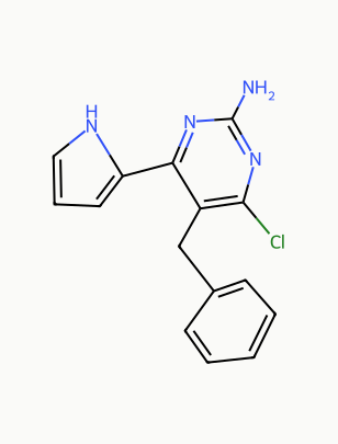 Nc1nc(Cl)c(Cc2ccccc2)c(-c2ccc[nH]2)n1